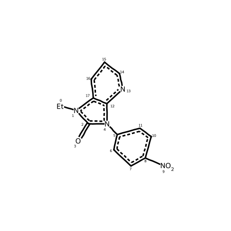 CCn1c(=O)n(-c2ccc([N+](=O)[O-])cc2)c2ncccc21